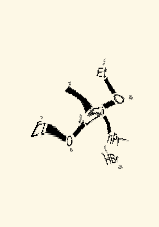 Br.CCC[Si](C)(OCC)OCC